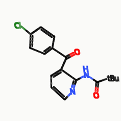 CC(C)(C)C(=O)Nc1ncccc1C(=O)c1ccc(Cl)cc1